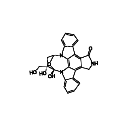 O=C1NCc2c1c1c3ccccc3n3c1c1c2c2ccccc2n1[C@@]1(O)OC3C[C@]1(O)CO